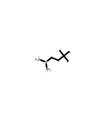 BN(B)CCC(C)(C)C